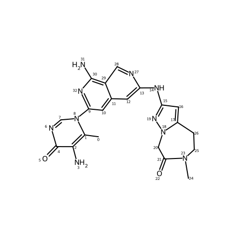 Cc1c(N)c(=O)ncn1-c1cc2cc(Nc3cc4n(n3)CC(=O)N(C)CC4)ncc2c(N)n1